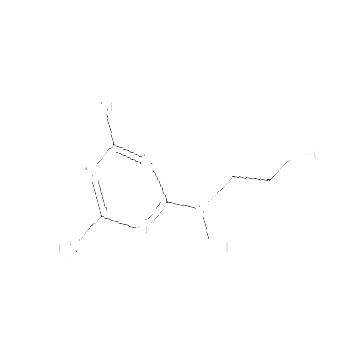 CN(CCO)c1nc(N)nc(N)n1